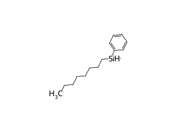 CCCCCCCC[SiH]c1ccccc1